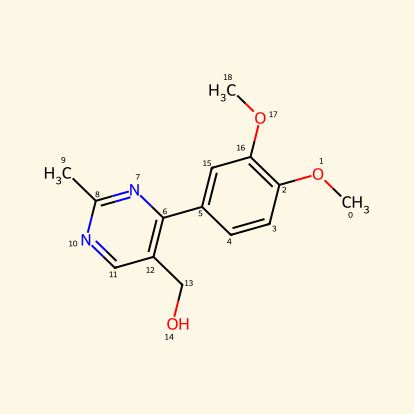 COc1ccc(-c2nc(C)ncc2CO)cc1OC